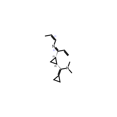 C=C/C(=N\C=C/C)[C@H]1C[C@H]1C(=C1CC1)N(C)C